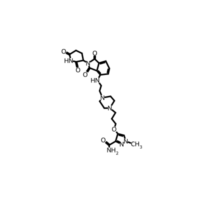 Cn1cc(OCCCN2CCN(CCNc3cccc4c3C(=O)N(C3CCC(=O)NC3=O)C4=O)CC2)c(C(N)=O)n1